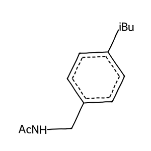 CCC(C)c1ccc(CNC(C)=O)cc1